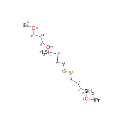 CCCO[SiH2]CCCSSCCC[SiH2]OCCCOC(C)CC